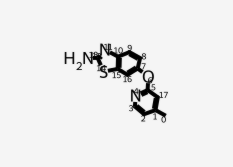 Cc1ccnc(Oc2ccc3nc(N)sc3c2)c1